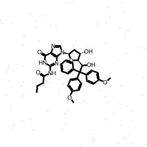 CCCC(=O)Nc1nc2c(ncn2[C@H]2C[C@H](O)[C@@H](C(O)C(c3ccccc3)(c3ccc(OC)cc3)c3ccc(OC)cc3)O2)c(=O)[nH]1